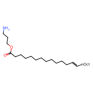 CCCCCCCCC=CCCCCCCCCCCCC(=O)OCCCN